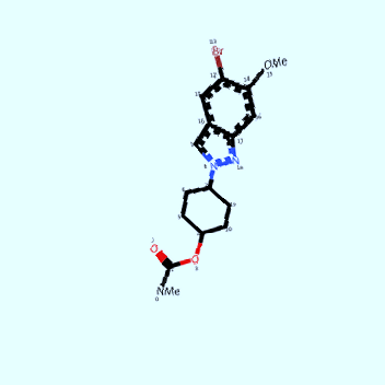 CNC(=O)OC1CCC(n2cc3cc(Br)c(OC)cc3n2)CC1